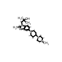 CN1CCN(C2CCN(c3ccc4c(c3)nc(N)n4[CH]C(C)(C)O)CC2)CC1